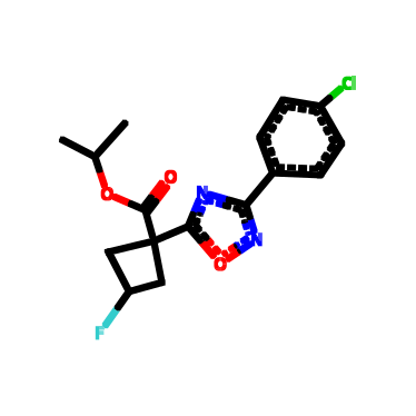 CC(C)OC(=O)C1(c2nc(-c3ccc(Cl)cc3)no2)CC(F)C1